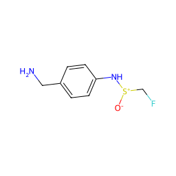 NCc1ccc(N[S+]([O-])CF)cc1